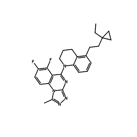 CCC1(CCc2cccc3c2CCCN3c2nc3nnc(C)n3c3ccc(F)c(F)c23)CC1